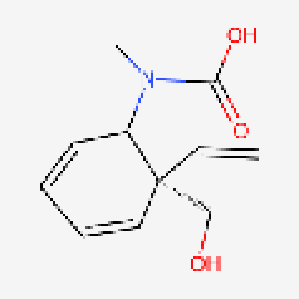 C=C[C@@]1(CO)C=CC=CC1N(C)C(=O)O